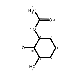 CC(=O)OC1CCCC(O)C1O